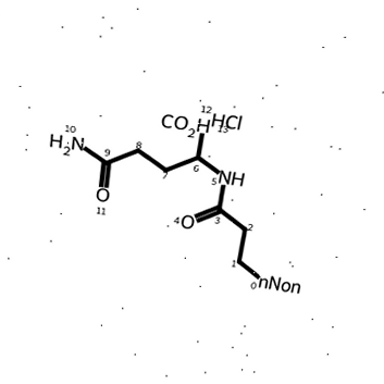 CCCCCCCCCCCC(=O)NC(CCC(N)=O)C(=O)O.Cl